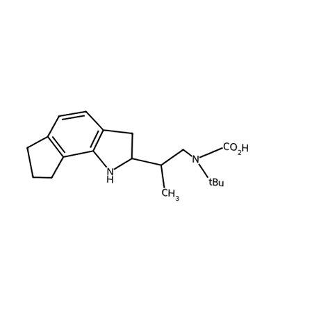 CC(CN(C(=O)O)C(C)(C)C)C1Cc2ccc3c(c2N1)CCC3